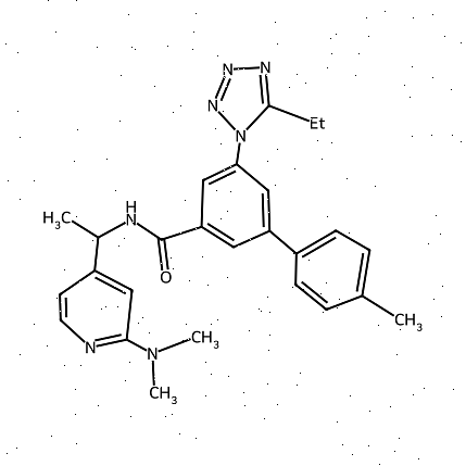 CCc1nnnn1-c1cc(C(=O)NC(C)c2ccnc(N(C)C)c2)cc(-c2ccc(C)cc2)c1